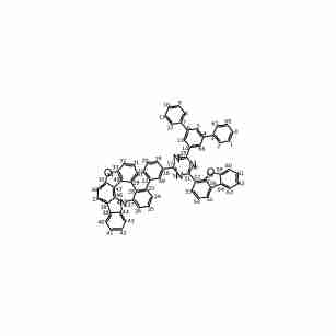 c1ccc(-c2cc(-c3ccccc3)cc(-c3nc(-c4cccc(-c5cccc6c5c5cccc7oc8ccc9c%10ccccc%10n6c9c8c75)c4)nc(-c4cccc5c4oc4ccccc45)n3)c2)cc1